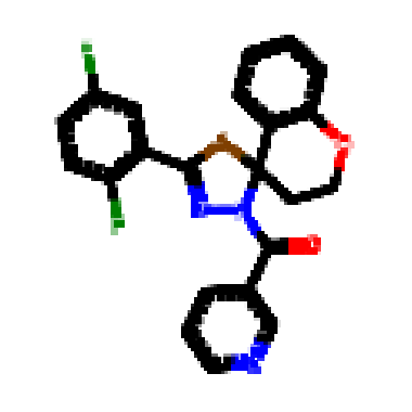 O=C(c1cccnc1)N1N=C(c2cc(F)ccc2F)SC12CCOc1ccccc12